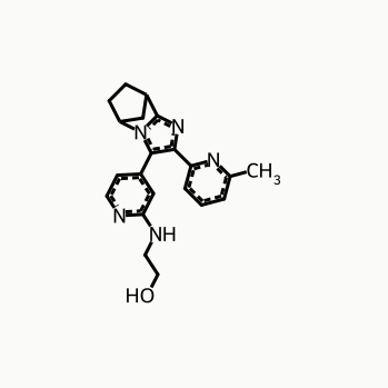 Cc1cccc(-c2nc3n(c2-c2ccnc(NCCO)c2)C2CCC3C2)n1